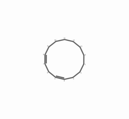 [CH]1CCCC=CCC=CCCCCC1